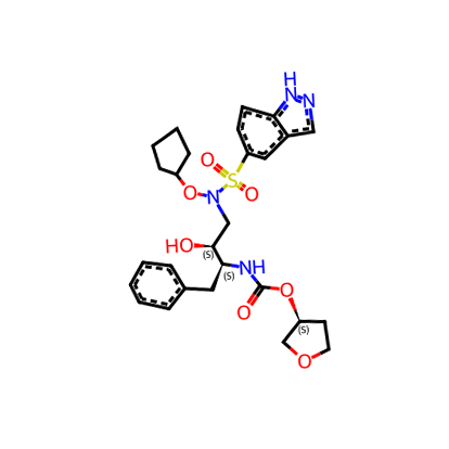 O=C(N[C@@H](Cc1ccccc1)[C@@H](O)CN(OC1CCCC1)S(=O)(=O)c1ccc2[nH]ncc2c1)O[C@H]1CCOC1